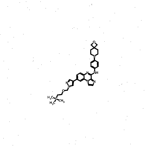 C[Si](C)(C)CCOCn1cc(-c2ccc3nc(Nc4ccc(N5CCC6(CC5)COC6)cc4)c4nccn4c3c2)cn1